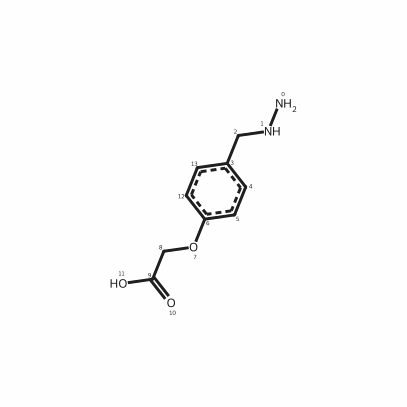 NNCc1ccc(OCC(=O)O)cc1